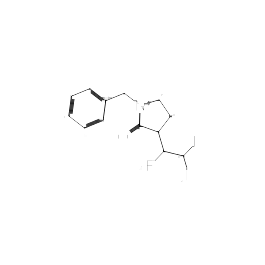 O=C1C(C(F)C(F)F)CCN1Cc1ccccc1